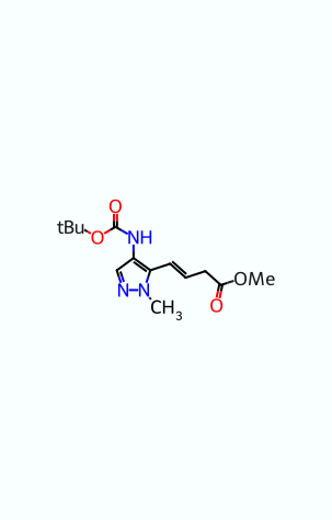 COC(=O)CC=Cc1c(NC(=O)OC(C)(C)C)cnn1C